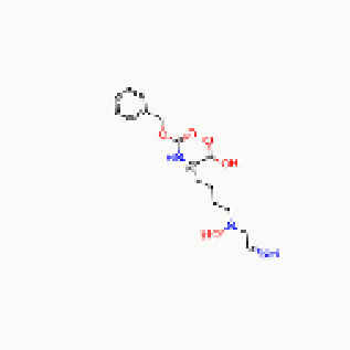 N=CCN(O)CCCC[C@H](NC(=O)OCc1ccccc1)C(=O)O